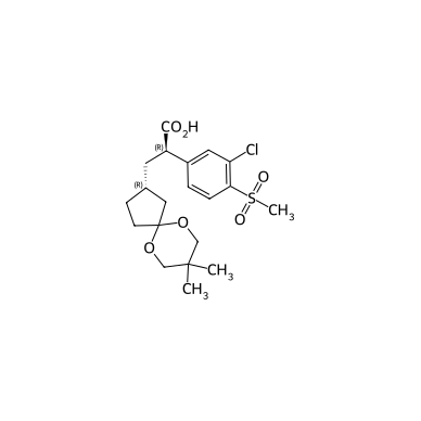 CC1(C)COC2(CC[C@H](C[C@@H](C(=O)O)c3ccc(S(C)(=O)=O)c(Cl)c3)C2)OC1